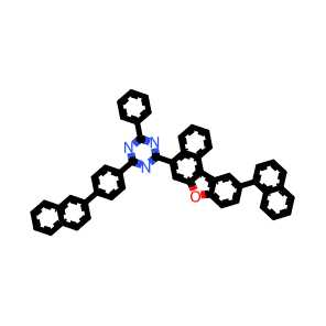 c1ccc(-c2nc(-c3ccc(-c4ccc5ccccc5c4)cc3)nc(-c3cc4oc5ccc(-c6cccc7ccccc67)cc5c4c4ccccc34)n2)cc1